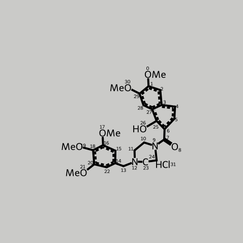 COc1cc2ccc(C(=O)N3CCN(Cc4cc(OC)c(OC)c(OC)c4)CC3)c(O)c2cc1OC.Cl